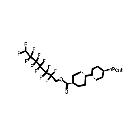 CCCCC[C@H]1CC[C@H]([C@H]2CC[C@H](C(=O)OCC(F)(F)C(F)(F)C(F)(F)C(F)(F)C(F)(F)C(F)F)CC2)CC1